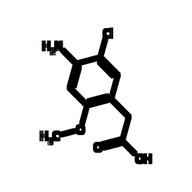 COc1cc(N)c(Cl)cc1CC(=O)O